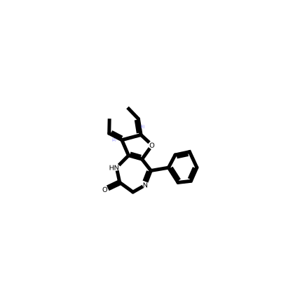 C/C=c1/c2c(o/c1=C/C)C(c1ccccc1)=NCC(=O)N2